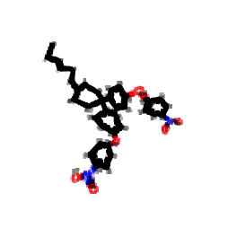 CCCCCCC1CCC(c2ccc(Oc3ccc([N+](=O)[O-])cc3)cc2)(c2ccc(Oc3ccc([N+](=O)[O-])cc3)cc2)CC1